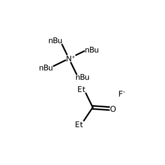 CCC(=O)CC.CCCC[N+](CCCC)(CCCC)CCCC.[F-]